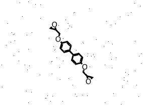 c1cc(-c2ccc(OCC3CO3)cc2)ccc1OCC1CO1